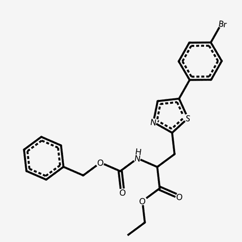 CCOC(=O)C(Cc1ncc(-c2ccc(Br)cc2)s1)NC(=O)OCc1ccccc1